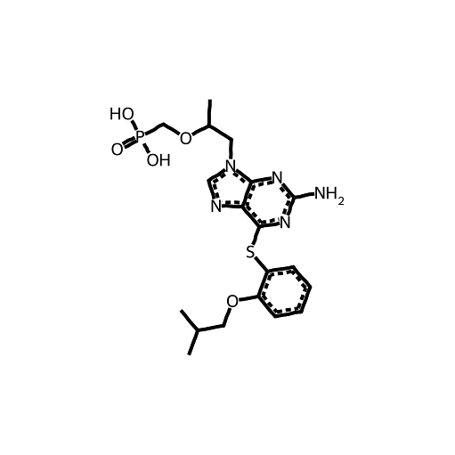 CC(C)COc1ccccc1Sc1nc(N)nc2c1ncn2CC(C)OCP(=O)(O)O